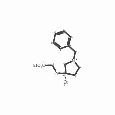 CCOC(=O)CN[C@]1(CC)CCN(Cc2ccccc2)C1